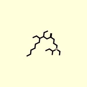 C=C(CCCN(CC)C(C)CC)CC(CC)C(CC)CCCCCC